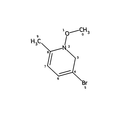 CON1CC(Br)=CC=C1C